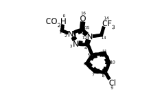 O=C(O)Cn1nc(-c2ccc(Cl)cc2)n(CC(F)(F)F)c1=O